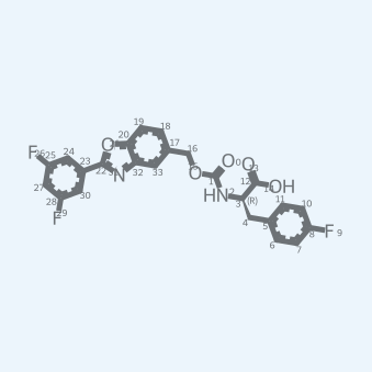 O=C(N[C@H](Cc1ccc(F)cc1)C(=O)O)OCc1ccc2oc(-c3cc(F)cc(F)c3)nc2c1